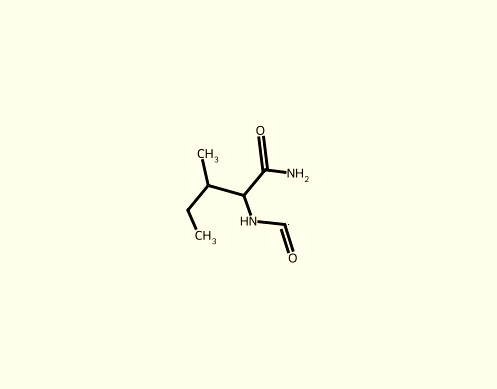 CCC(C)C(N[C]=O)C(N)=O